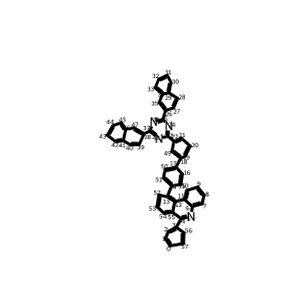 c1ccc(-c2nc3ccccc3c3c(-c4ccc(-c5cccc(-c6nc(-c7ccc8ccccc8c7)nc(-c7ccc8ccccc8c7)n6)c5)cc4)cccc23)cc1